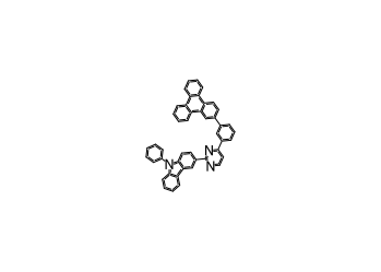 c1ccc(-n2c3ccccc3c3cc(-c4nccc(-c5cccc(-c6ccc7c8ccccc8c8ccccc8c7c6)c5)n4)ccc32)cc1